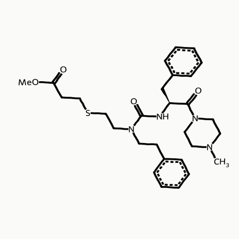 COC(=O)CCSCCN(CCc1ccccc1)C(=O)N[C@@H](Cc1ccccc1)C(=O)N1CCN(C)CC1